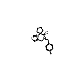 O=C1N(Cc2ccc(F)cc2)Cc2cncn2C12CCCC2